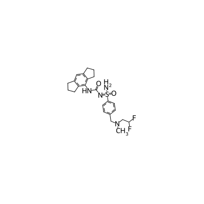 CN(Cc1ccc([S@](N)(=O)=NC(=O)Nc2c3c(cc4c2CCC4)CCC3)cc1)CC(F)F